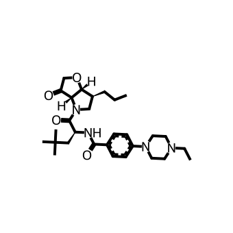 CCC[C@H]1CN(C(=O)[C@H](CC(C)(C)C)NC(=O)c2ccc(N3CCN(CC)CC3)cc2)[C@@H]2C(=O)CO[C@H]12